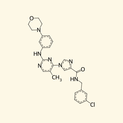 Cc1cnc(Nc2cccc(N3CCOCC3)c2)nc1-n1cnc(C(=O)NCc2cccc(Cl)c2)c1